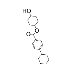 O=C(OC1CCC(O)CC1)c1ccc(C2CCCCC2)cc1